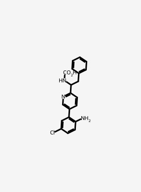 Nc1ccc(Cl)cc1-c1ccc(C(Cc2ccccc2)NC(=O)O)nc1